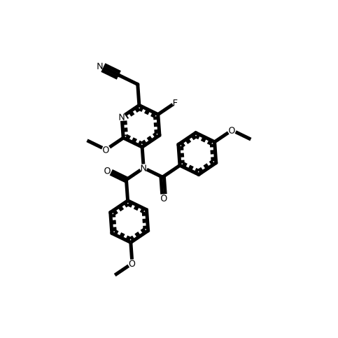 COc1ccc(C(=O)N(C(=O)c2ccc(OC)cc2)c2cc(F)c(CC#N)nc2OC)cc1